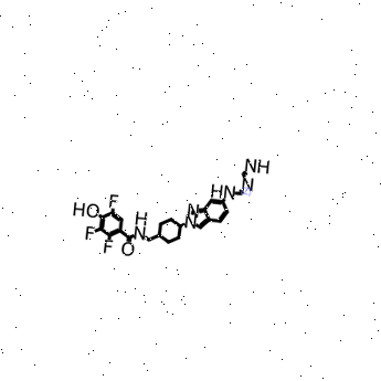 N=C/N=C\Nc1ccc2cn(C3CCC(CNC(=O)c4cc(F)c(O)c(F)c4F)CC3)nc2c1